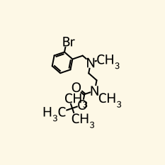 CN(CCN(C)C(=O)OC(C)(C)C)Cc1ccccc1Br